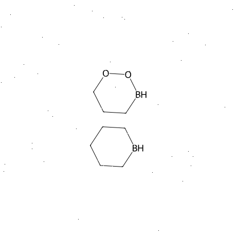 B1CCCCC1.B1CCCOO1